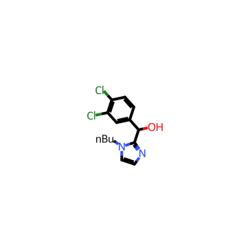 CCCCn1ccnc1C(O)c1ccc(Cl)c(Cl)c1